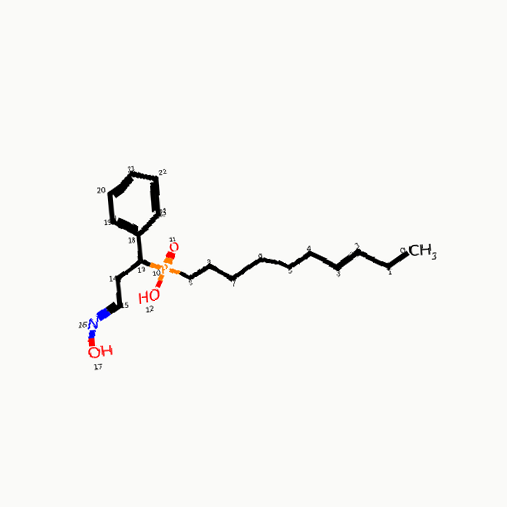 CCCCCCCCCCP(=O)(O)C(CC=NO)c1ccccc1